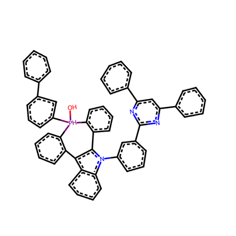 O[PH]1(c2cccc(-c3ccccc3)c2)c2ccccc2-c2c(n(-c3cccc(-c4nc(-c5ccccc5)cc(-c5ccccc5)n4)c3)c3ccccc23)-c2ccccc21